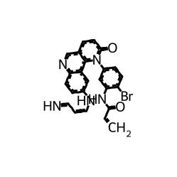 C=CC(=O)Nc1cc(-n2c(=O)ccc3cnc4ccc(N/C=C\C=N)cc4c32)ccc1Br